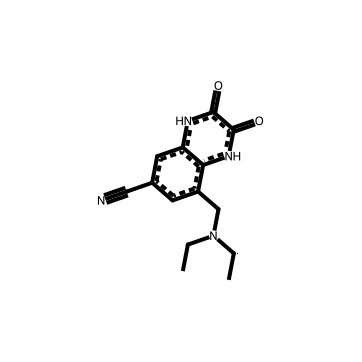 C[CH]N(CC)Cc1cc(C#N)cc2[nH]c(=O)c(=O)[nH]c12